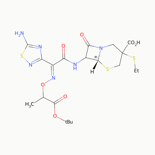 CCSC1(C(=O)O)CS[C@@H]2C(NC(=O)C(=NOC(C)C(=O)OC(C)(C)C)c3nsc(N)n3)C(=O)N2C1